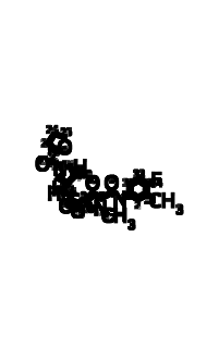 Cc1cc(NC(=O)c2c3c(cn2C)S(=O)(=O)N[C@H]2CN(C(=O)[C@@H]4CCCO4)C[C@H]2CO3)ccc1F